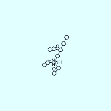 c1ccc(-c2ccc(-c3ccc(-c4ccc(C5NC(c6ccc7ccccc7c6)=NC(c6cccc7c6oc6ccccc67)N5)cc4)c4c3oc3cc5ccccc5cc34)cc2)cc1